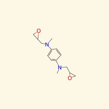 CN(CC1CO1)c1ccc(N(C)CC2CO2)cc1